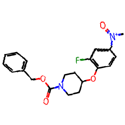 C[N+](=O)c1ccc(OC2CCN(C(=O)OCc3ccccc3)CC2)c(F)c1